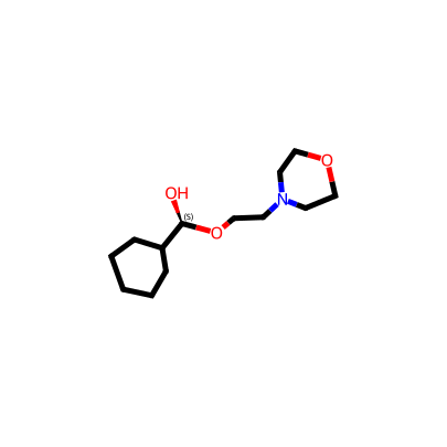 O[C@@H](OCCN1CCOCC1)C1CCCCC1